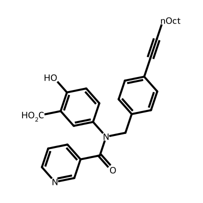 CCCCCCCCC#Cc1ccc(CN(C(=O)c2cccnc2)c2ccc(O)c(C(=O)O)c2)cc1